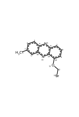 Cc1ccc2nc3cccc(OCBr)c3nc2c1